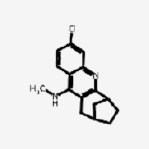 CNc1c2c(nc3cc(Cl)ccc13)C1CCC(C2)C1